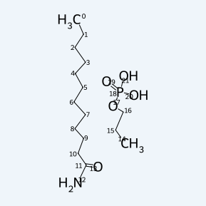 CCCCCCCCCCCC(N)=O.CCCOP(=O)(O)O